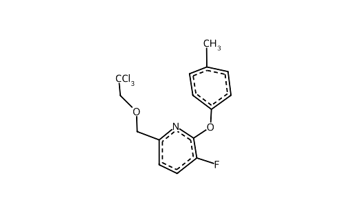 Cc1ccc(Oc2nc(COCC(Cl)(Cl)Cl)ccc2F)cc1